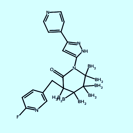 BC1(Cc2ccc(F)nc2)C(=O)N(c2cc(-c3ccncc3)n[nH]2)C(B)(B)C(B)(B)C1(B)B